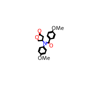 COc1ccc(C(=O)N(c2ccc(OC)cc2)C2COC(=O)C2)cc1